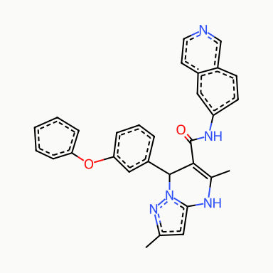 CC1=C(C(=O)Nc2ccc3cnccc3c2)C(c2cccc(Oc3ccccc3)c2)n2nc(C)cc2N1